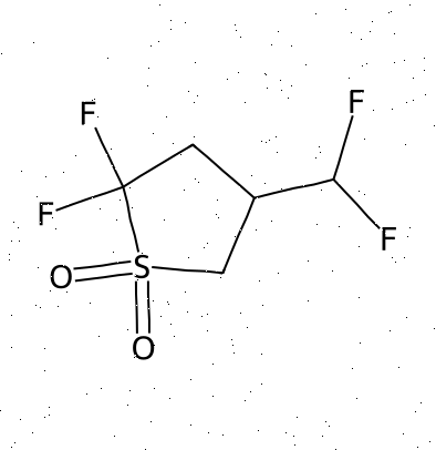 O=S1(=O)CC(C(F)F)CC1(F)F